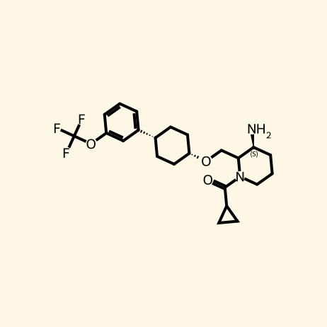 N[C@H]1CCCN(C(=O)C2CC2)C1CO[C@H]1CC[C@@H](c2cccc(OC(F)(F)F)c2)CC1